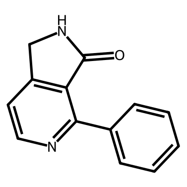 O=C1NCc2ccnc(-c3ccccc3)c21